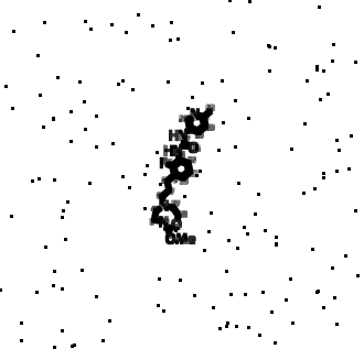 CO/C1=N\CCN(CCCc2cccc(NC(=O)Nc3ccc(C)nc3)c2F)CCO1